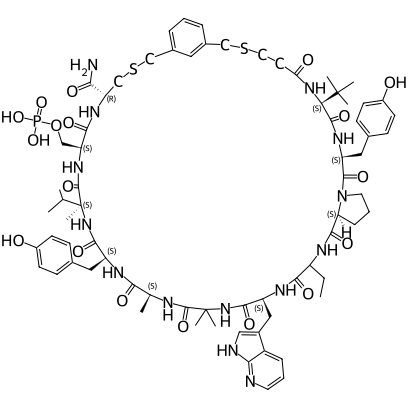 CCC1NC(=O)[C@@H]2CCCN2C(=O)[C@H](Cc2ccc(O)cc2)NC(=O)[C@H](C(C)(C)C)NC(=O)CCSCc2cccc(c2)CSC[C@@H](C(N)=O)NC(=O)[C@H](COP(=O)(O)O)NC(=O)[C@](C)(C(C)C)NC(=O)[C@H](Cc2ccc(O)cc2)NC(=O)[C@H](C)NC(=O)C(C)(C)NC(=O)[C@H](Cc2c[nH]c3ncccc23)NC1=O